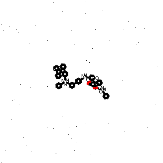 c1ccc(-c2nc(-c3cccc(-c4ccc(-c5nnc(-c6ccc7c(c6)C6(c8ccccc8O7)c7ccccc7-c7ccc(-c8nnc(-c9ccccc9)o8)cc76)o5)cc4)c3)nc(-c3ccc4c(c3)C3(c5ccccc5-c5ccccc53)c3ccccc3-4)n2)cc1